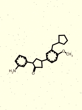 COc1ccc(C2CC(=O)C(c3cccc(N)c3)C2)cc1CC1CCCC1